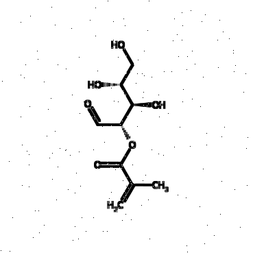 C=C(C)C(=O)O[C@H](C=O)[C@H](O)[C@H](O)CO